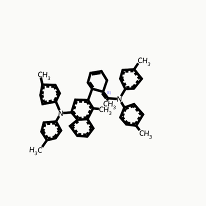 C/C(=C1/CC=CC=C1c1cc(N(c2ccc(C)cc2)c2ccc(C)cc2)c2ccccc2c1C)N(c1ccc(C)cc1)c1ccc(C)cc1